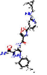 C[C@H]1CC[C@H](n2cc(NC(=O)c3coc(-c4ccnc(NCC5CC5)c4)n3)c(C(N)=O)n2)CC1